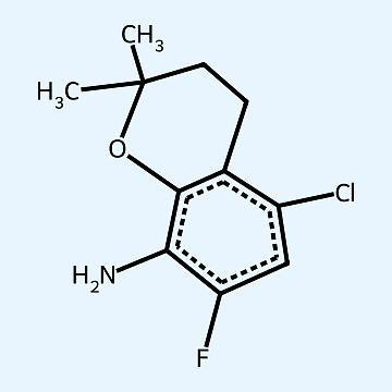 CC1(C)CCc2c(Cl)cc(F)c(N)c2O1